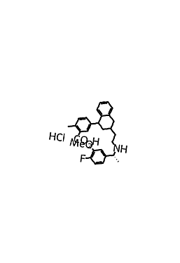 COc1cc([C@@H](C)NCCC2Cc3ccccc3C(c3ccc(C)c(C(=O)O)c3)C2)ccc1F.Cl